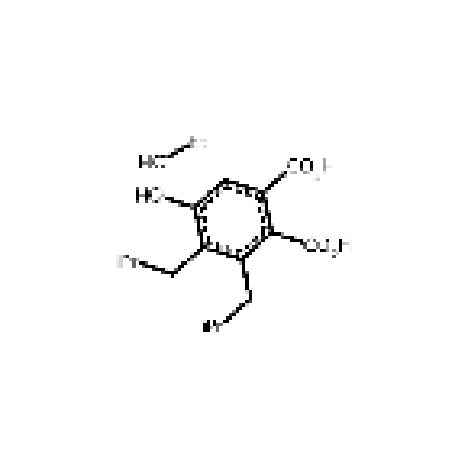 CC(C)Cc1c(O)cc(C(=O)O)c(C(=O)O)c1CC(C)C.CCO